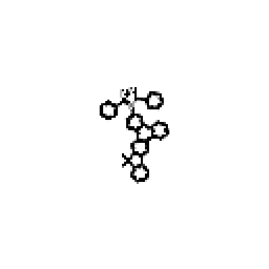 CC1(C)c2ccccc2-c2cc3c4ccccc4c4cc(-n5c(-c6ccccc6)nnc5-c5ccccc5)ccc4c3cc21